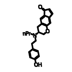 CCCN(CCc1ccc(O)cc1)[C@@H]1COc2cc3c(cc2C1)C(=O)C=C3